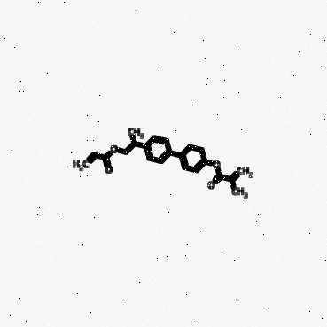 C=CC(=O)OCC(C)c1ccc(C2=CC=C(OC(=O)C(=C)C)CC2)cc1